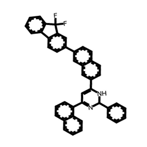 FC1(F)c2ccccc2-c2ccc(-c3ccc4ccc(C5=CC(c6cccc7ccccc67)=NC(c6ccccc6)N5)cc4c3)cc21